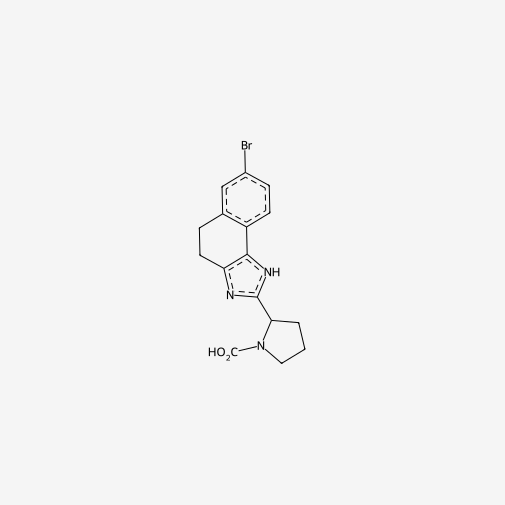 O=C(O)N1CCCC1c1nc2c([nH]1)-c1ccc(Br)cc1CC2